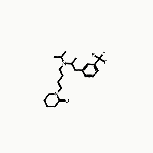 CC(C)N(CCCCN1CCCCC1=O)C(C)Cc1cccc(C(F)(F)F)c1